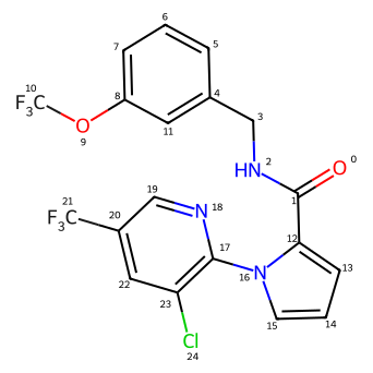 O=C(NCc1cccc(OC(F)(F)F)c1)c1cccn1-c1ncc(C(F)(F)F)cc1Cl